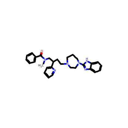 CN(CC(CCN1CCCN(c2nc3ccccc3[nH]2)CC1)c1ccccn1)C(=O)c1ccccc1